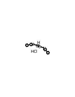 B(OCCCN1CCC(c2ccccc2)CC1)OCCCN1CCC(c2ccccc2)CC1.Cl